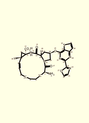 N[C@H]1CCCCC/C=C\[C@@H]2C[C@@]2(C(=O)O)NC(=O)[C@@H]2C[C@@H](Oc3nc(-c4ncco4)nc4ccsc34)CN2C1=O